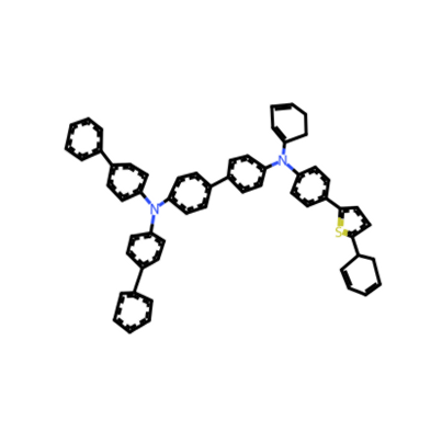 C1=CCCC(N(c2ccc(-c3ccc(N(c4ccc(-c5ccccc5)cc4)c4ccc(-c5ccccc5)cc4)cc3)cc2)c2ccc(-c3ccc(C4C=CC=CC4)s3)cc2)=C1